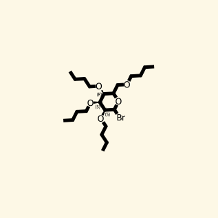 CCCCOCC1OC(Br)[C@@H](OCCCC)[C@@H](OCCCC)[C@@H]1OCCCC